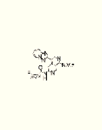 CNc1ncc(-c2nc3ccccn3n2)c2cc(NC(=O)[C@@H]3C[C@@H]3F)ncc12